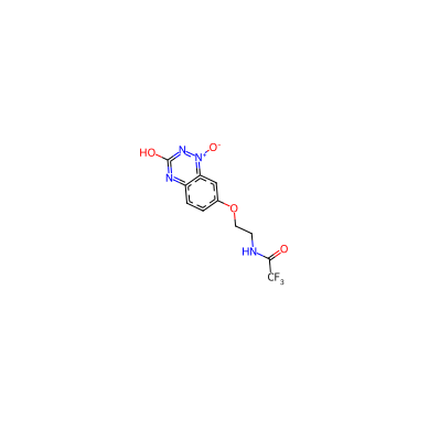 O=C(NCCOc1ccc2nc(O)n[n+]([O-])c2c1)C(F)(F)F